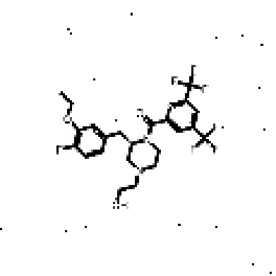 CCOc1cc(C[C@@H]2CN(CCO)CCN2C(=O)c2cc(C(F)(F)F)cc(C(F)(F)F)c2)ccc1F